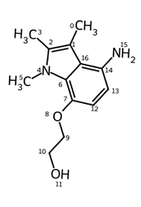 Cc1c(C)n(C)c2c(OCCO)ccc(N)c12